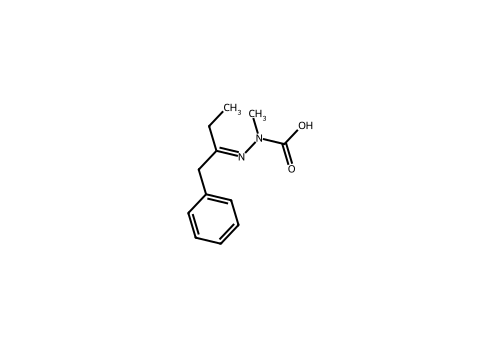 CCC(Cc1ccccc1)=NN(C)C(=O)O